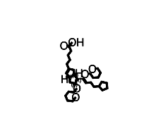 O=C(O)CCCCC1=C[C@@H]2C[C@@H](OC3CCCCO3)[C@H](C(=CCCC3CCCC3)OC3CCCCO3)[C@@H]2C1